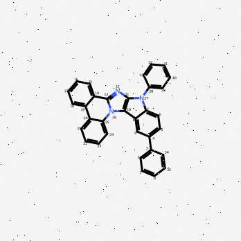 c1ccc(-c2ccc3c(c2)c2c(nc4c5ccccc5c5ccccc5n42)n3-c2ccccc2)cc1